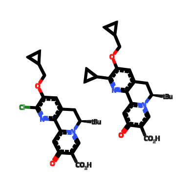 CC(C)(C)[C@@H]1Cc2cc(OCC3CC3)c(C3CC3)nc2-c2cc(=O)c(C(=O)O)cn21.CC(C)(C)[C@@H]1Cc2cc(OCC3CC3)c(Cl)nc2-c2cc(=O)c(C(=O)O)cn21